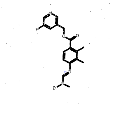 CCN(C)/C=N/c1ccc(C(=O)OCc2cncc(F)c2)c(C)c1C